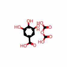 O=C(O)OC(=O)O.O=C(O)c1cc(O)c(O)c(O)c1